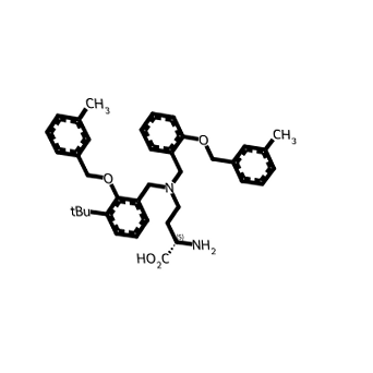 Cc1cccc(COc2ccccc2CN(CC[C@H](N)C(=O)O)Cc2cccc(C(C)(C)C)c2OCc2cccc(C)c2)c1